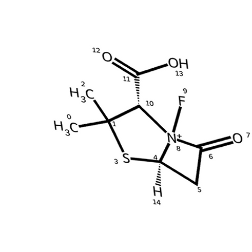 CC1(C)S[C@@H]2CC(=O)[N+]2(F)[C@H]1C(=O)O